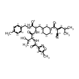 Cc1ccc(CNC(=O)C(CC2CCCN(C(=O)C(C#N)=CC(C)C)C2)NC(=O)C(NC(=O)c2cc(C)on2)C(C)O)cc1